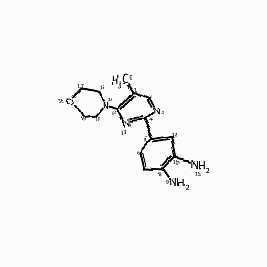 Cc1cnc(-c2ccc(N)c(N)c2)nc1N1CCOCC1